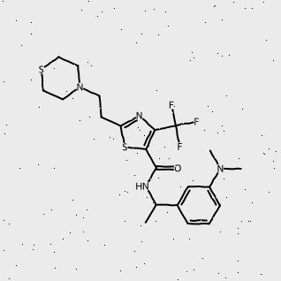 CC(NC(=O)c1sc(CCN2CCSCC2)nc1C(F)(F)F)c1cccc(N(C)C)c1